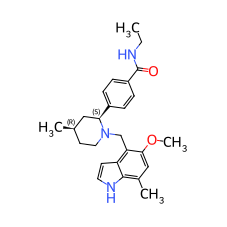 CCNC(=O)c1ccc([C@@H]2C[C@H](C)CCN2Cc2c(OC)cc(C)c3[nH]ccc23)cc1